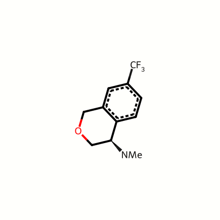 CN[C@H]1COCc2cc(C(F)(F)F)ccc21